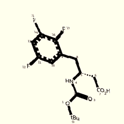 CC(C)(C)OC(=O)N[C@@H](CC(=O)O)Cc1cc(F)cc(F)c1F